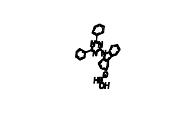 OBOc1ccc2c(c1)c1ccccc1n2-c1nc(-c2ccccc2)nc(-c2ccccc2)n1